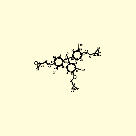 CC(c1ccc(OCC2CO2)c(I)c1)(c1ccc(OCC2CO2)c(I)c1)c1ccc(OCC2CO2)c(I)c1